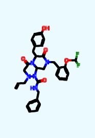 C=CCN1CC(=O)N2C(Cc3ccc(O)cc3)C(=O)N(Cc3ccccc3OC(F)F)CC2N1C(=O)NCc1ccccc1